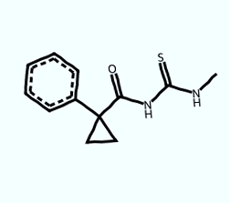 CNC(=S)NC(=O)C1(c2ccccc2)CC1